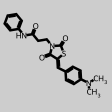 CN(C)c1ccc(/C=C2\SC(=O)N(CCC(=O)Nc3ccccc3)C2=O)cc1